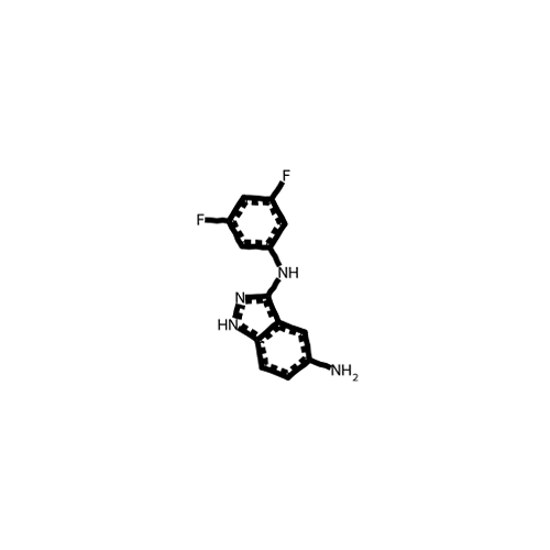 Nc1ccc2[nH]nc(Nc3cc(F)cc(F)c3)c2c1